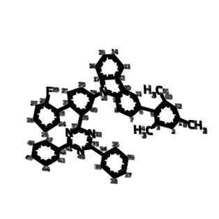 Cc1cc(C)c(-c2ccc3c(c2)c2ccccc2n3-c2ccc(-c3ccccc3F)c(-c3nc(-c4ccccc4)nc(-c4ccccc4)n3)c2)c(C)c1